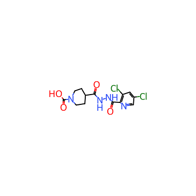 O=C(NNC(=O)C1CCN(C(=O)O)CC1)c1ncc(Cl)cc1Cl